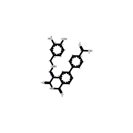 O=C1NC(=O)c2ccc(-c3ccc(C(=O)O)cc3)cc2/C1=C\NCc1ccc(O)c(O)c1